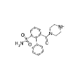 NS(=O)(=O)c1cccc(C(=O)N2CCNCC2)c1-c1ccccc1